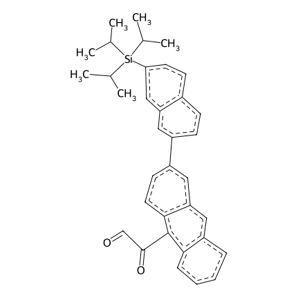 CC(C)[Si](c1ccc2ccc(-c3ccc4c(C(=O)C=O)c5ccccc5cc4c3)cc2c1)(C(C)C)C(C)C